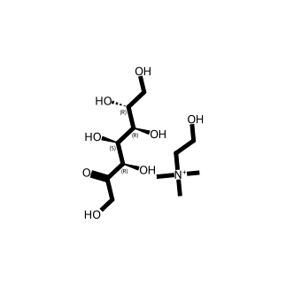 C[N+](C)(C)CCO.O=C(CO)[C@H](O)[C@@H](O)[C@H](O)[C@H](O)CO